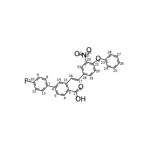 O=C(O)c1ccc(-c2ccc(F)cc2)cc1/C=C/c1ccc(Oc2ccccc2)c([N+](=O)[O-])c1